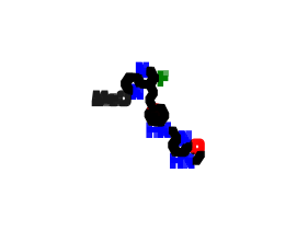 COc1ccc2ncc(F)c(CCC34CCC(NCc5ccc6c(n5)OCCN6)(CC3)CO4)c2n1